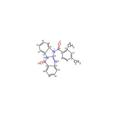 Cc1ccc(C(=O)n2c3ccccc3n3c(=O)c4ccccc4nc23)c(C)c1